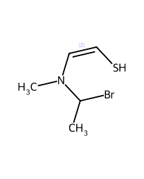 CC(Br)N(C)/C=C\S